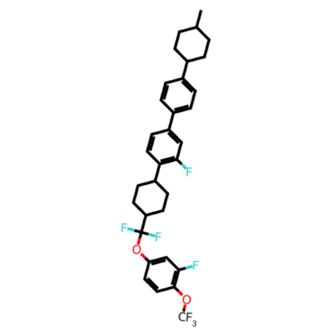 CC1CCC(c2ccc(-c3ccc(C4CCC(C(F)(F)Oc5ccc(OC(F)(F)F)c(F)c5)CC4)c(F)c3)cc2)CC1